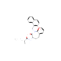 CCCOc1ccc2ccccc2c1CN1C(=O)C(NC(=O)[C@H](C)NC)CCc2ccccc21